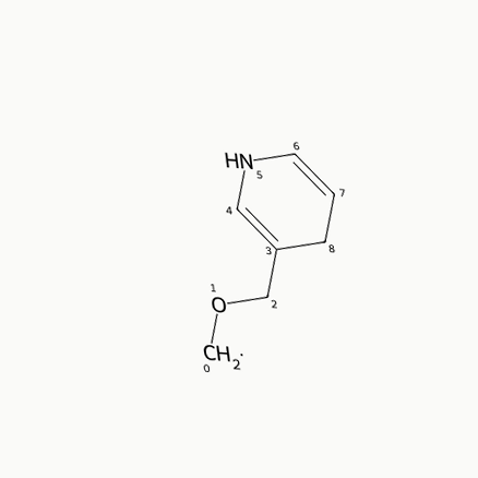 [CH2]OCC1=CNC=CC1